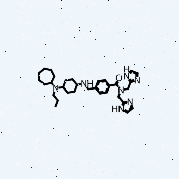 CCCN(C1CCCCCC1)C1CCC(NCc2ccc(C(=O)N(Cc3ncc[nH]3)Cc3ncc[nH]3)cc2)CC1